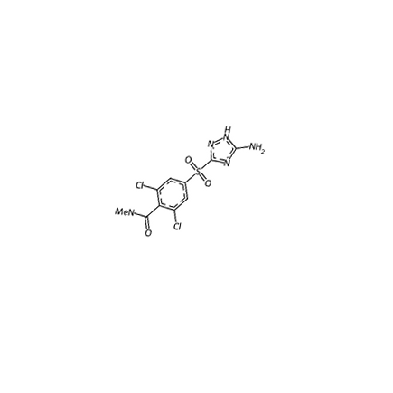 CNC(=O)c1c(Cl)cc(S(=O)(=O)c2n[nH]c(N)n2)cc1Cl